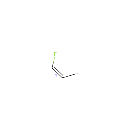 [CH2]/C=C\F